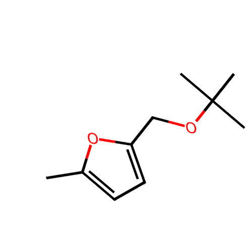 Cc1ccc(COC(C)(C)C)o1